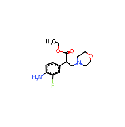 CCOC(=O)C(CN1CCOCC1)c1ccc(N)c(F)c1